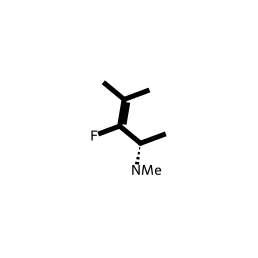 CN[C@@H](C)C(F)=C(C)C